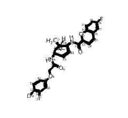 C[C@H]1CC2(NC(=O)COc3ccc(Cl)c(F)c3)CCC1(NC(=O)C1CCc3cc(F)ccc3O1)CC2